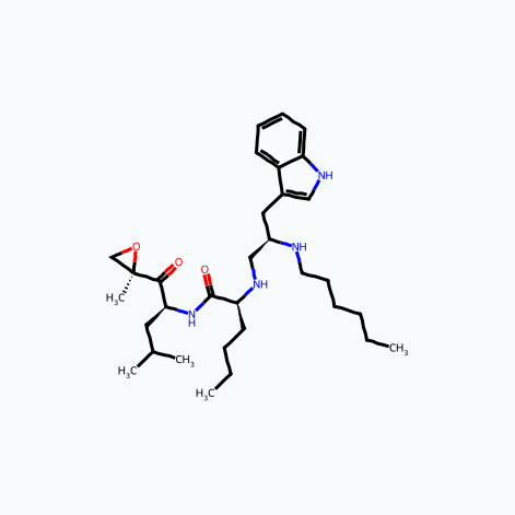 CCCCCCN[C@@H](CN[C@@H](CCCC)C(=O)N[C@@H](CC(C)C)C(=O)[C@@]1(C)CO1)Cc1c[nH]c2ccccc12